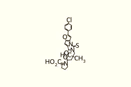 CC(C)(CC(=O)N1CCC[C@@H]1C(=O)O)CN1C(=O)c2cc3oc(-c4ccc(Cl)cc4)cc3n2C1=S